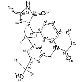 CC(C)(C)c1cc(CN2C(=O)COc3ccc(CC4SC(=S)NC4=O)cc32)cc(C(C)(C)O)c1